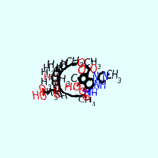 C/C1=C/C=C/[C@H](C)[C@H](OC(=O)CCC(=O)O)[C@@H](C)[C@@H](O)[C@@H](C)[C@H](C)[C@H](C)[C@@H](C)/C=C/O[C@@]2(C)Oc3c(C)c(O)c4c(c3C2=O)C2=NC3(CCN(C)CC3)NC2=C(NC1=O)C4=O